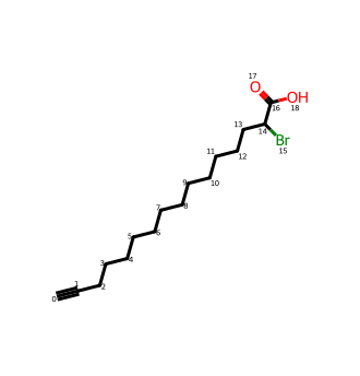 C#CCCCCCCCCCCCCC(Br)C(=O)O